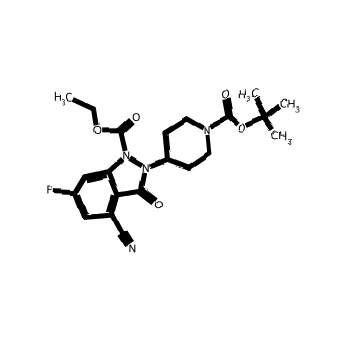 CCOC(=O)n1c2cc(F)cc(C#N)c2c(=O)n1C1CCN(C(=O)OC(C)(C)C)CC1